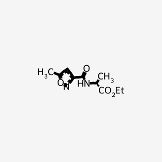 CCOC(=O)[C@H](C)NC(=O)c1cc(C)on1